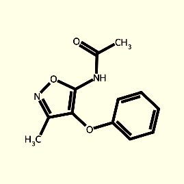 CC(=O)Nc1onc(C)c1Oc1ccccc1